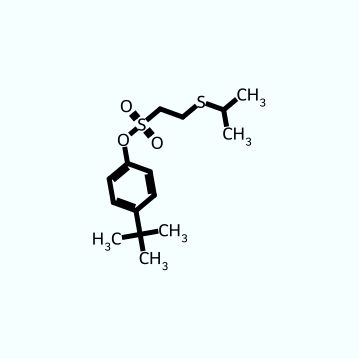 CC(C)SCCS(=O)(=O)Oc1ccc(C(C)(C)C)cc1